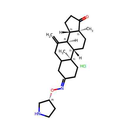 C=C1CC2CC(=NO[C@@H]3CCNC3)CC[C@]2(C)[C@H]2CC[C@]3(C)C(=O)CC[C@H]3[C@H]12.Cl